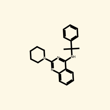 CC(C)(Nc1nc(N2CCCCC2)nc2ccccc12)c1ccccc1